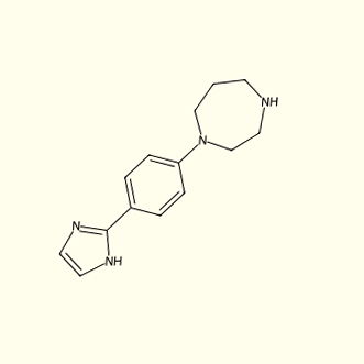 c1c[nH]c(-c2ccc(N3CCCNCC3)cc2)n1